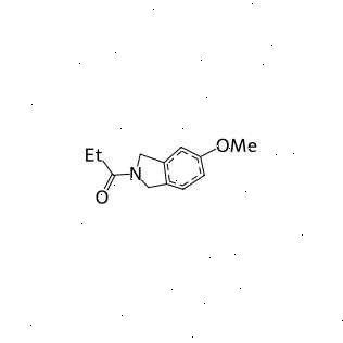 CCC(=O)N1Cc2ccc(OC)cc2C1